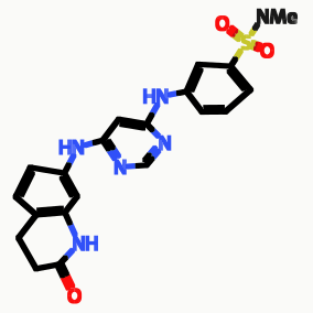 CNS(=O)(=O)c1cccc(Nc2cc(Nc3ccc4c(c3)NC(=O)CC4)ncn2)c1